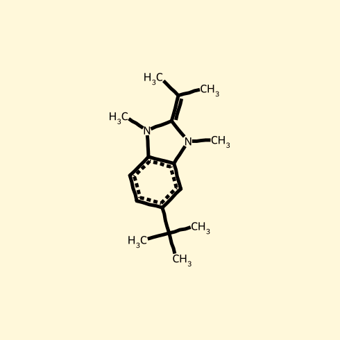 CC(C)=C1N(C)c2ccc(C(C)(C)C)cc2N1C